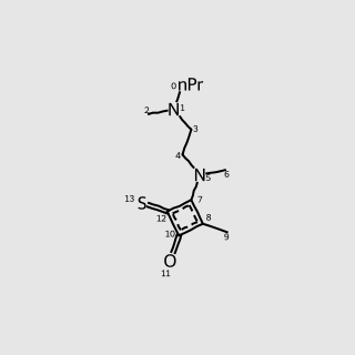 CCCN(C)CCN(C)c1c(C)c(=O)c1=S